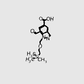 C[Si](C)(C)CCOCn1ncc2cc(C(=O)O)cc(C=O)c21